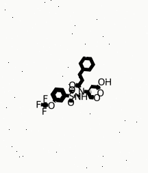 O=C[C@H](CC(=O)O)N(NS(=O)(=O)c1cccc(OC(F)(F)F)c1)C(=O)CCC1CCCCC1